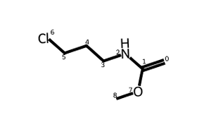 C=C(NCCCCl)OC